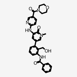 Cn1cc(-c2cccc(NC(=O)c3ccccc3)c2CO)cc(Nc2ccc(C(=O)N3CCOCC3)cn2)c1=O